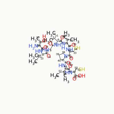 CC[C@H](C)[C@H](NC(=O)CNC(=O)[C@H](CC(C)C)NC(=O)[C@@H](N)[C@@H](C)O)C(=O)N[C@H](C(=O)N[C@@H](CS)C(=O)N1CCC[C@H]1C(=O)N[C@H](C(=O)N[C@@H](CS)C(=O)O)[C@@H](C)CC)C(C)C